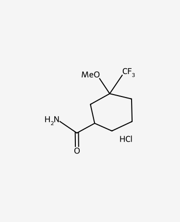 COC1(C(F)(F)F)CCCC(C(N)=O)C1.Cl